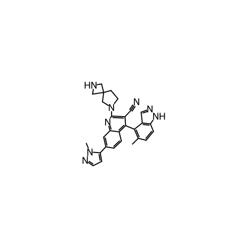 Cc1ccc2[nH]ncc2c1-c1c(C#N)c(N2CCC3(CNC3)C2)nc2cc(-c3ccnn3C)ccc12